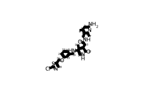 Cc1cc(N)nc(C)c1CNC(=O)Cc1c(C)c(NCc2cccc(OCc3cnc(Cl)s3)c2)c[nH]c1=O